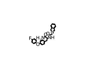 NC(=O)C(Cc1ccc(Oc2ccc(F)cc2)cc1)NC(=O)CN1Cc2ccccc2C1